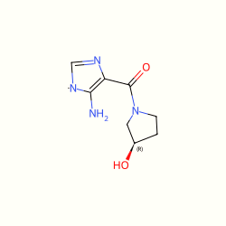 NC1=C(C(=O)N2CC[C@@H](O)C2)N=C[N]1